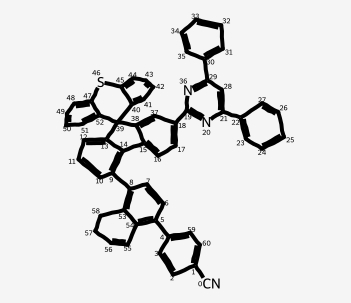 N#Cc1ccc(-c2ccc(-c3cccc4c3-c3ccc(-c5nc(-c6ccccc6)cc(-c6ccccc6)n5)cc3C43c4ccccc4Sc4ccccc43)c3c2C=CCC3)cc1